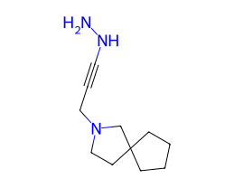 NNC#CCN1CCC2(CCCC2)C1